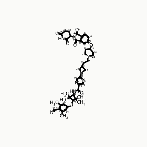 Cc1cc(OC2C(C)(C)C(NC(=O)c3cnc(N4CC(CCN5CCC(Oc6ccc7c(c6)C(=O)N(C6CCC(=O)NC6=O)C7=O)CC5)C4)cn3)C2(C)C)cc(C)c1C#N